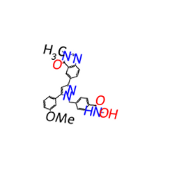 COc1cccc(-c2cc(-c3ccc4ncn(C)c(=O)c4c3)nn2Cc2ccc(C(=O)NO)cc2)c1